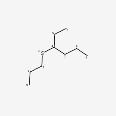 CCCSC(CC)CCC